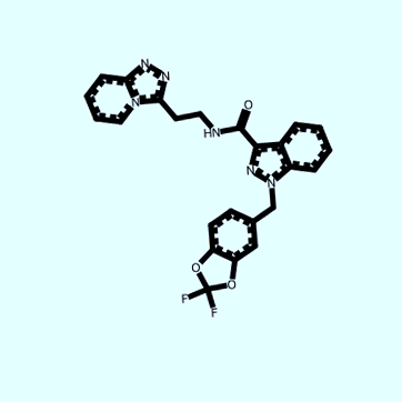 O=C(NCCc1nnc2ccccn12)c1nn(Cc2ccc3c(c2)OC(F)(F)O3)c2ccccc12